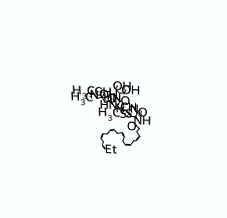 CC/C=C\C/C=C\C/C=C\C/C=C\C/C=C\C/C=C\CCC(=O)NC(CSSC(C)(C)C(NC(=O)CC(O)C[N+](C)(C)C)C(=O)NC(CO)CO)C(N)=O